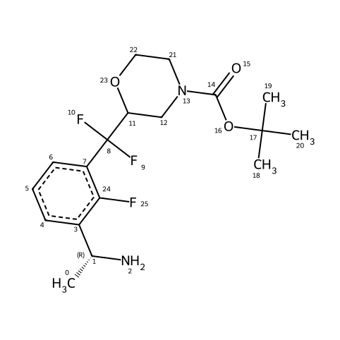 C[C@@H](N)c1cccc(C(F)(F)C2CN(C(=O)OC(C)(C)C)CCO2)c1F